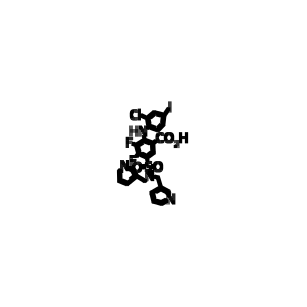 O=C(O)c1cc(S(=O)(=O)N(Cc2cccnc2)Cc2cccnc2)c(F)c(F)c1Nc1ccc(I)cc1Cl